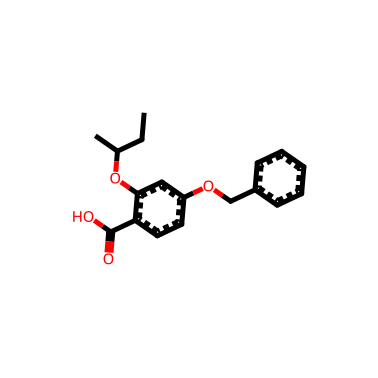 CCC(C)Oc1cc(OCc2ccccc2)ccc1C(=O)O